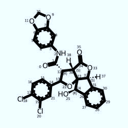 O=C(Nc1ccc2c(c1)OCO2)[C@H]1C(c2ccc(Cl)c(Cl)c2)OC23[C@H](O)c4ccccc4[C@@H]2OC(=O)[C@@H]13